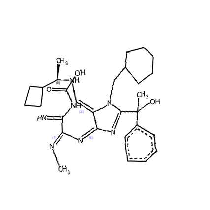 C\N=C(/N=C1/N=C(C(C)(O)c2ccccc2)N(CC2CCCCC2)/C1=C\N[C@H](C)C1CCC1)C(=N)NC(=O)O